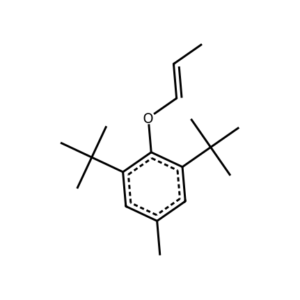 CC=COc1c(C(C)(C)C)cc(C)cc1C(C)(C)C